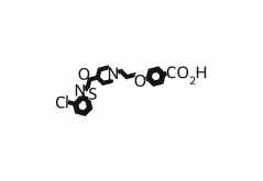 O=C(O)c1ccc(OCCCN2CCC(C(=O)c3nc4c(Cl)cccc4s3)CC2)cc1